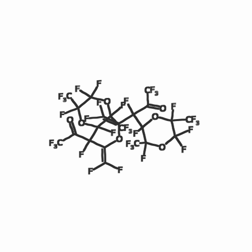 O=C(C(F)(F)F)C(F)(C(OC(=C(F)F)C(F)(C(=O)C(F)(F)F)C1(F)OC(F)(C(F)(F)F)C(F)(F)OC1(F)C(F)(F)F)=C(F)F)C1(F)OC(F)(C(F)(F)F)C(F)(F)OC1(F)C(F)(F)F